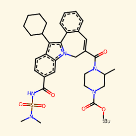 CC1CN(C(=O)OC(C)(C)C)CCN1C(=O)C1=Cc2ccccc2-c2c(C3CCCCC3)c3ccc(C(=O)NS(=O)(=O)N(C)C)cc3n2C1